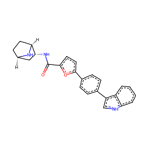 O=C(N[C@@H]1C[C@H]2CC[C@@H]1N2)c1ccc(-c2ccc(-c3c[nH]c4ccccc34)cc2)o1